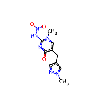 Cn1cc(Cc2cn(C)c(N[N+](=O)[O-])nc2=O)cn1